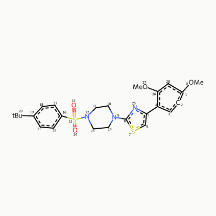 COc1ccc(-c2csc(N3CCN(S(=O)(=O)c4ccc(C(C)(C)C)cc4)CC3)n2)c(OC)c1